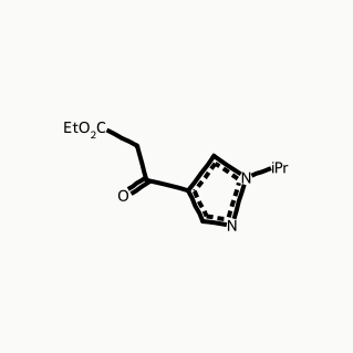 CCOC(=O)CC(=O)c1cnn(C(C)C)c1